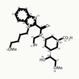 COCCCCn1c(C(=O)N(CC(C)C)[C@H]2C[C@@H](C(O)COC)CN(C(=O)O)C2)nc2ccccc21